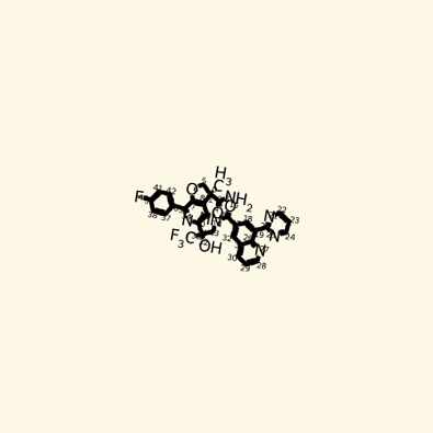 C[C@]1(C(N)=O)COc2c1cc(C(O)(CNC(=O)c1cc(-c3ncccn3)c3ncccc3c1)C(F)(F)F)nc2-c1ccc(F)cc1